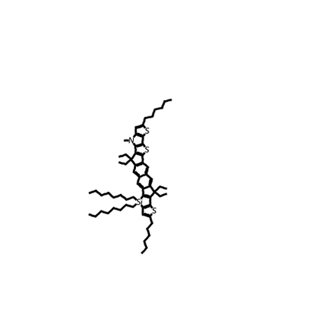 CCCCCCCC[Si]1(CCCCCCCC)C2=C(c3sc(CCCCCC)cc31)C(CC)(CC)c1cc3cc4c(cc3cc12)C(CC)(CC)c1c-4sc2c3sc(CCCCCC)cc3n(C)c12